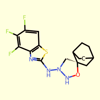 Fc1cc2sc(NN3C[C@]4(CC5CCC4CC5)ON3)nc2c(F)c1F